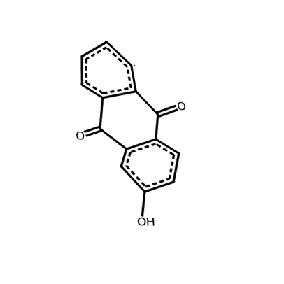 O=C1c2[c]cccc2C(=O)c2cc(O)ccc21